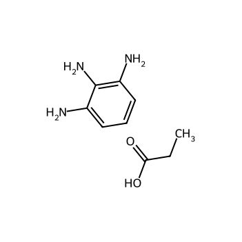 CCC(=O)O.Nc1cccc(N)c1N